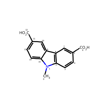 Cn1c2ccc(C(=O)O)cc2c2cc(C(=O)O)ccc21